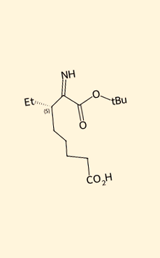 CC[C@@H](CCCCC(=O)O)C(=N)C(=O)OC(C)(C)C